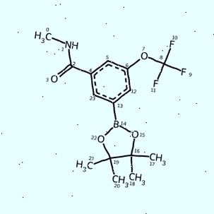 CNC(=O)c1cc(OC(F)(F)F)cc(B2OC(C)(C)C(C)(C)O2)c1